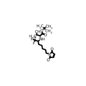 CC(C)[C@H](NC(CCCCCN1C(=O)C=CC1=O)C(F)(F)F)C(=O)OC(C)(C)C